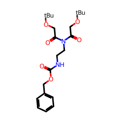 CC(C)(C)OCC(=O)N(CCNC(=O)OCc1ccccc1)C(=O)COC(C)(C)C